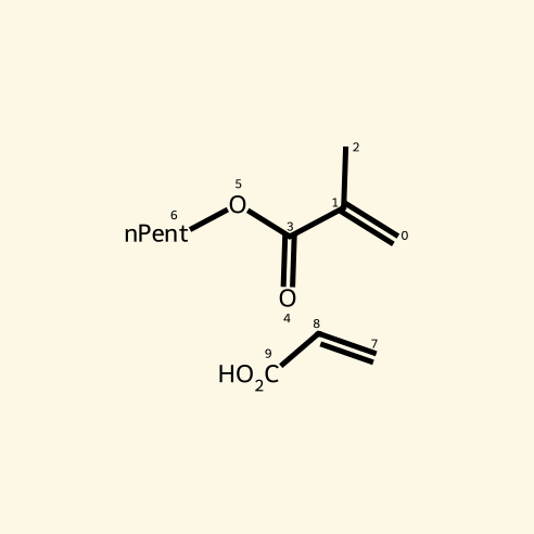 C=C(C)C(=O)OCCCCC.C=CC(=O)O